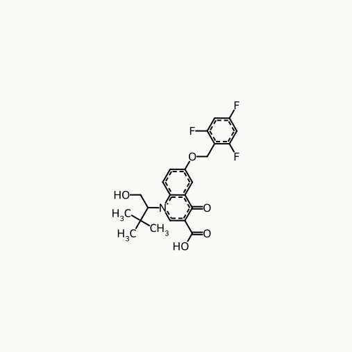 CC(C)(C)C(CO)n1cc(C(=O)O)c(=O)c2cc(OCc3c(F)cc(F)cc3F)ccc21